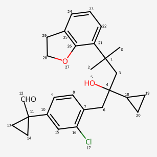 CC(C)(CC(O)(Cc1ccc(C2(C=O)CC2)cc1Cl)C1CC1)c1cccc2c1OCC2